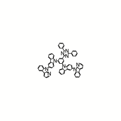 c1ccc(-c2nc(-c3ccccc3)nc(-c3cc(-n4c5ccccc5c5cc(-n6c7ccccc7c7cccnc76)ccc54)cc(-n4c5ccccc5c5cc(-n6c7ccccc7c7cccnc76)ccc54)c3)n2)cc1